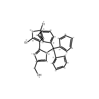 CCc1cc(-c2nc(CO)cn2C(c2ccccc2)(c2ccccc2)c2ccccc2)c(CC)s1